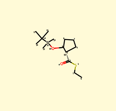 CCSC(=O)[C@H]1CCCC1O[Si](C)(C)C(C)(C)C